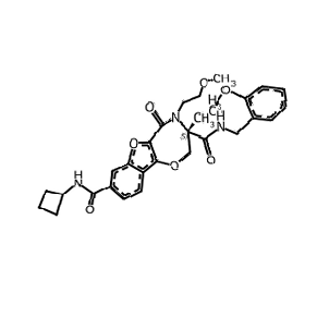 COCCN1C(=O)c2oc3cc(C(=O)NC4CCC4)ccc3c2OC[C@@]1(C)C(=O)NCc1ccccc1OC